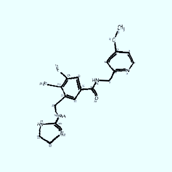 COc1ccnc(CNC(=O)c2cc(F)c(F)c(CNC3=NCCN3)c2)c1